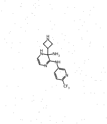 NC1(C2CNC2)NC=CN=C1Nc1ccc(C(F)(F)F)nc1